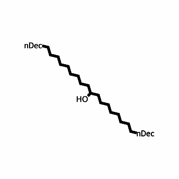 CCCCCCCCCCCCCCCCCCCC(O)CCCCCCCCCCCCCCCCCC